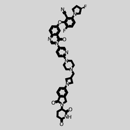 N#Cc1c(N2CC[C@@H](F)C2)ccc(F)c1Oc1ccc2ncn(-c3ccc(N4CCN(CC5CN(c6ccc7c(c6)CN(C6CCC(=O)NC6=O)C7=O)C5)CC4)nc3)c(=O)c2c1